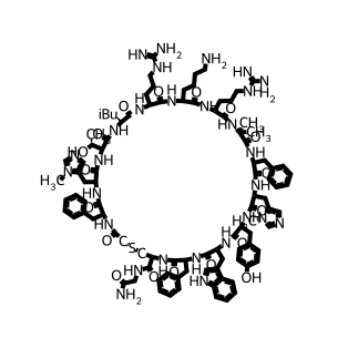 CC[C@H](C)C1NC(=O)C([C@@H](C)O)NC(=O)C(Cc2cncn2C)NC(=O)C(Cc2ccccc2)NC(=O)CSCC(C(=O)NCC(N)=O)NC(=O)C(Cc2ccccc2)NC(=O)C(Cc2c[nH]c3ccccc23)NC(=O)C(Cc2ccc(O)cc2)NC(=O)C(Cc2cncn2C)NC(=O)C(Cc2ccccc2)NC(=O)C(C)(C)NC(=O)C(CCCNC(=N)N)NC(=O)C(CCCCN)NC(=O)C(CCCNC(=N)N)NC1=O